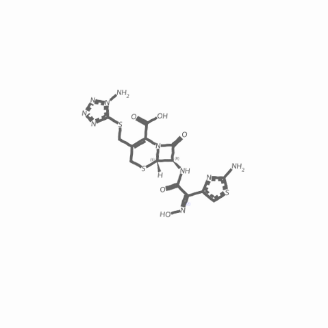 Nc1nc(/C(=N/O)C(=O)N[C@@H]2C(=O)N3C(C(=O)O)=C(CSc4nnnn4N)CS[C@@H]23)cs1